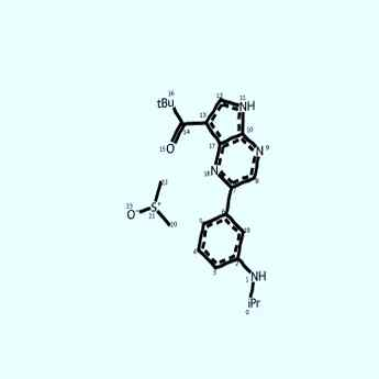 CC(C)Nc1cccc(-c2cnc3[nH]cc(C(=O)C(C)(C)C)c3n2)c1.C[S+](C)[O-]